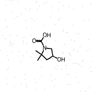 CC1(C)CC(O)CN1C(=O)O